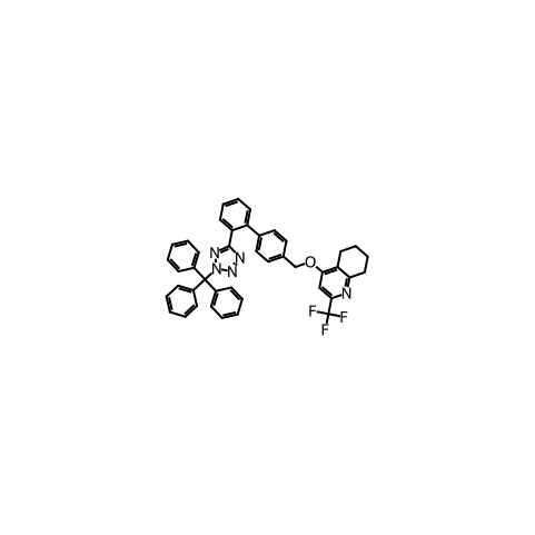 FC(F)(F)c1cc(OCc2ccc(-c3ccccc3-c3nnn(C(c4ccccc4)(c4ccccc4)c4ccccc4)n3)cc2)c2c(n1)CCCC2